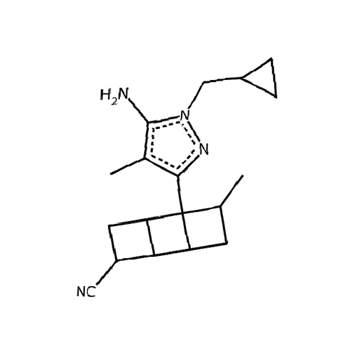 Cc1c(C23C(C)C4C2C2C3CC42C#N)nn(CC2CC2)c1N